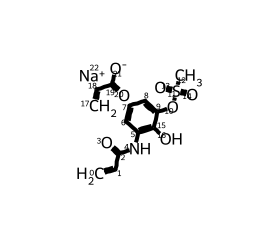 C=CC(=O)Nc1cccc(OS(C)(=O)=O)c1O.C=CC(=O)[O-].[Na+]